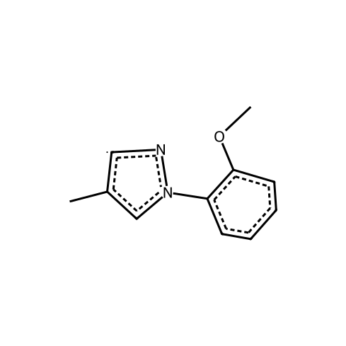 COc1ccccc1-n1cc(C)[c]n1